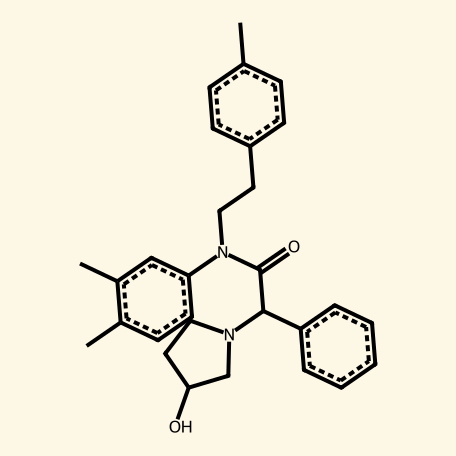 Cc1ccc(CCN(C(=O)C(c2ccccc2)N2CCC(O)C2)c2ccc(C)c(C)c2)cc1